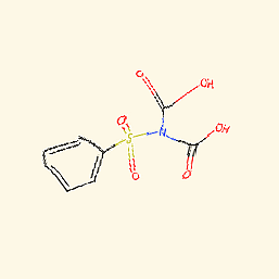 O=C(O)N(C(=O)O)S(=O)(=O)c1ccccc1